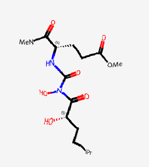 CNC(=O)[C@H](CCC(=O)OC)NC(=O)N(O)C(=O)[C@@H](O)CCC(C)C